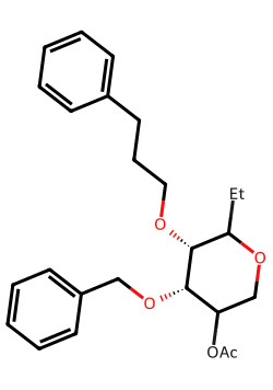 CCC1OCC(OC(C)=O)[C@H](OCc2ccccc2)[C@@H]1OCCCc1ccccc1